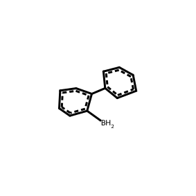 Bc1ccccc1-c1ccccc1